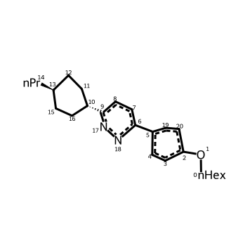 CCCCCCOc1ccc(-c2ccc([C@H]3CC[C@H](CCC)CC3)nn2)cc1